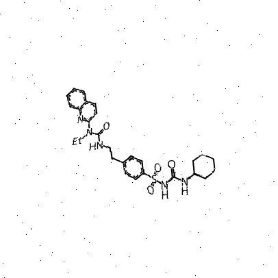 CCN(C(=O)NCCc1ccc(S(=O)(=O)NC(=O)NC2CCCCC2)cc1)c1ccc2ccccc2n1